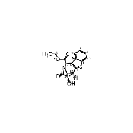 CCOC(=O)C1c2c(sc3ccccc23)[C@@H]2CN1C(=O)N2O